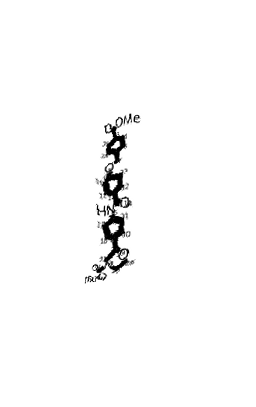 COC(=O)c1ccc(COc2ccc(C(=O)Nc3ccc(C4CN(C(=O)OC(C)(C)C)CCO4)cc3)cc2)cc1